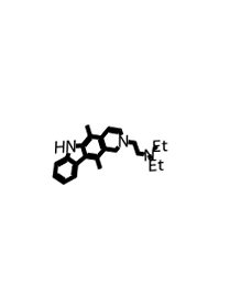 CCN(CC)CCN1C=Cc2c(c(C)c3c([nH]c4ccccc43)c2C)C1